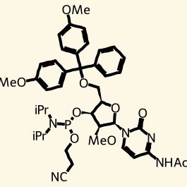 COc1ccc(C(OC[C@H]2O[C@@H](n3ccc(NC(C)=O)nc3=O)[C@@H](OC)[C@H]2OP(OCCC#N)N(C(C)C)C(C)C)(c2ccccc2)c2ccc(OC)cc2)cc1